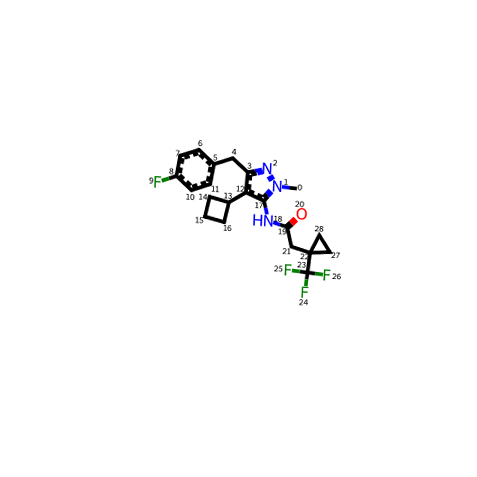 Cn1nc(Cc2ccc(F)cc2)c(C2CCC2)c1NC(=O)CC1(C(F)(F)F)CC1